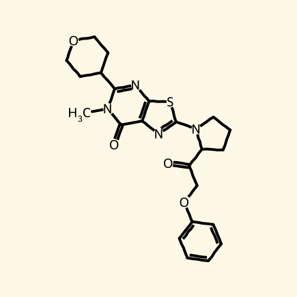 Cn1c(C2CCOCC2)nc2sc(N3CCCC3C(=O)COc3ccccc3)nc2c1=O